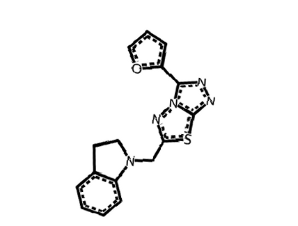 c1coc(-c2nnc3sc(CN4CCc5ccccc54)nn23)c1